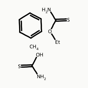 C.CCOC(N)=S.NC(O)=S.c1ccccc1